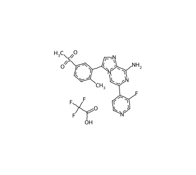 Cc1ccc(S(C)(=O)=O)cc1-c1cnc2c(N)nc(-c3ccncc3F)cn12.O=C(O)C(F)(F)F